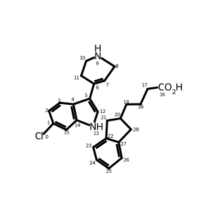 Clc1ccc2c(C3=CCNCC3)c[nH]c2c1.O=C(O)CCCC1Cc2ccccc2C1